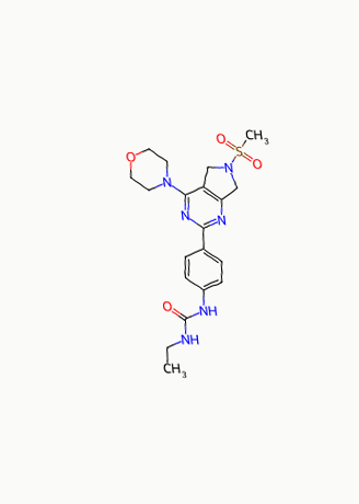 CCNC(=O)Nc1ccc(-c2nc3c(c(N4CCOCC4)n2)CN(S(C)(=O)=O)C3)cc1